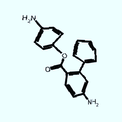 Nc1ccc(OC(=O)c2ccc(N)cc2-c2ccccc2)cc1